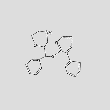 c1ccc(-c2cccnc2SC(c2ccccc2)C2CNCCO2)cc1